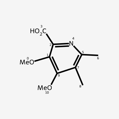 COc1c(C(=O)O)nc(C)c(C)c1OC